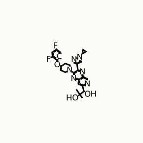 CC(C)(O)[C@H](O)c1cc2nc(N3CCC(Oc4ccc(F)cc4F)CC3)c(-c3cnn(C4CC4)c3)nc2cn1